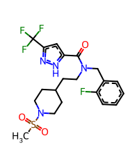 CS(=O)(=O)N1CCC(CCN(Cc2ccccc2F)C(=O)c2cc(C(F)(F)F)n[nH]2)CC1